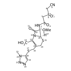 CO[C@@]1(NC(=O)C[S+]([O-])CC#N)C(=O)N2C(C(=O)O)=C(CSc3cnnn3C)CS[C@@H]21